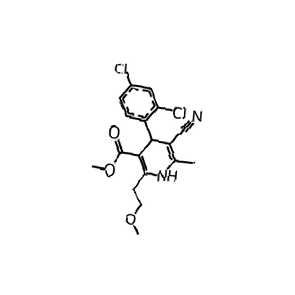 COCCC1=C(C(=O)OC)C(c2ccc(Cl)cc2Cl)C(C#N)=C(C)N1